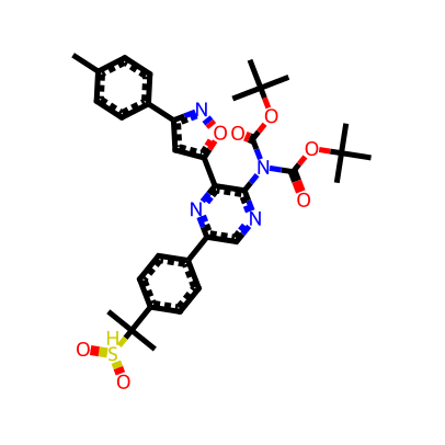 Cc1ccc(-c2cc(-c3nc(-c4ccc(C(C)(C)[SH](=O)=O)cc4)cnc3N(C(=O)OC(C)(C)C)C(=O)OC(C)(C)C)on2)cc1